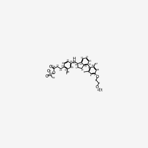 CCOCCOc1cc(C)c(-c2cccc3c2CCC3Nc2ccc(CCC(=O)OS(C)(=O)=O)c(F)c2)c(C)c1